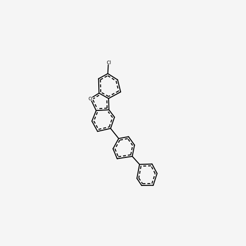 Clc1ccc2c(c1)oc1ccc(-c3ccc(-c4ccccc4)cc3)cc12